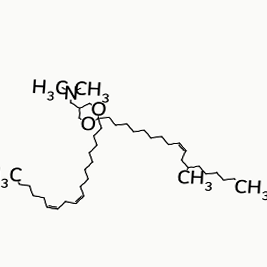 CCCCC/C=C\C/C=C\CCCCCCCCC1(CCCCCCCC/C=C\CC(C)CCCCCC)OCC(CN(C)C)CO1